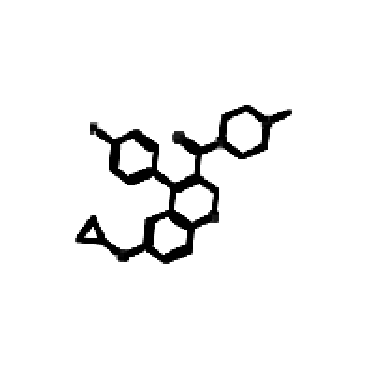 CN1CCN(C(=O)C2=C(c3ccc(F)cc3)c3cc(OC4CC4)ccc3OC2)CC1